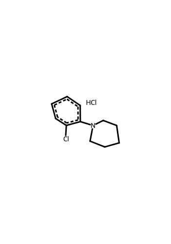 Cl.Clc1ccccc1N1CCCCC1